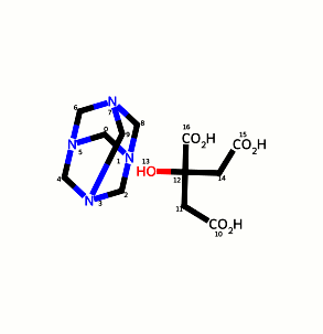 C1N2CN3CN1CN(C2)C3.O=C(O)CC(O)(CC(=O)O)C(=O)O